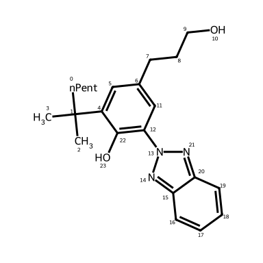 CCCCCC(C)(C)c1cc(CCCO)cc(-n2nc3ccccc3n2)c1O